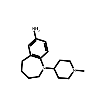 CN1CCC(N2CCCCc3cc(N)ccc32)CC1